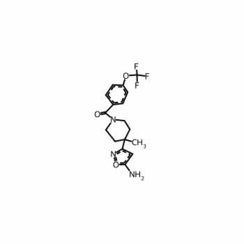 CC1(c2cc(N)on2)CCN(C(=O)c2ccc(OC(F)(F)F)cc2)CC1